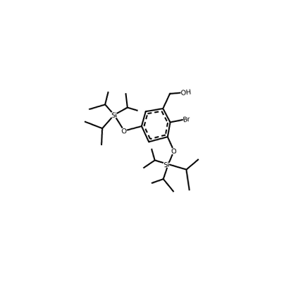 CC(C)[Si](Oc1cc(CO)c(Br)c(O[Si](C(C)C)(C(C)C)C(C)C)c1)(C(C)C)C(C)C